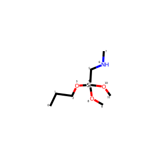 CCCO[Si](CNC)(OC)OC